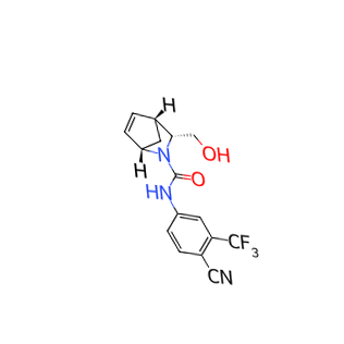 N#Cc1ccc(NC(=O)N2[C@@H]3C=C[C@@H](C3)[C@@H]2CO)cc1C(F)(F)F